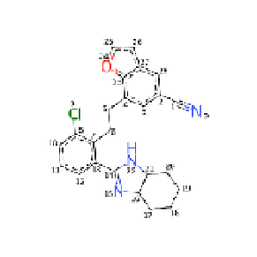 N#Cc1cc(CCc2c(Cl)cccc2C2=NC3CCCCC3N2)c2occc2c1